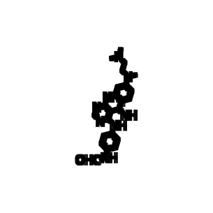 CN(C)CCN(C)c1ccc(C(=N)c2c(N)ncnc2Nc2ccc(NC=O)cc2)cc1